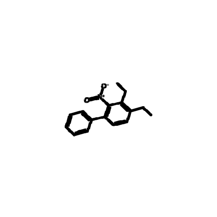 CCc1ccc(-c2ccccc2)c([N+](=O)[O-])c1CC